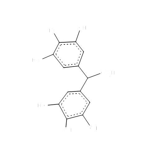 Cc1cc(C(C(=O)O)c2cc(C)c(O)c(C)c2)cc(C)c1O